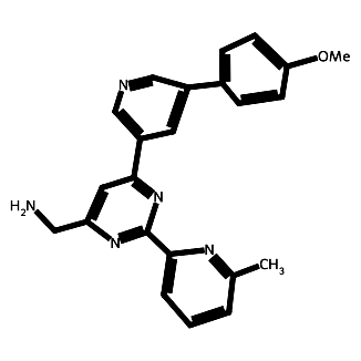 COc1ccc(-c2cncc(-c3cc(CN)nc(-c4cccc(C)n4)n3)c2)cc1